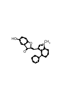 Cn1cc(/C=C2\Oc3ccc(O)cc3C2=O)c2c(-c3ccccc3)cccc21